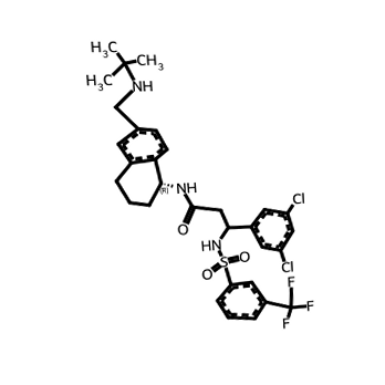 CC(C)(C)NCc1ccc2c(c1)CCC[C@H]2NC(=O)CC(NS(=O)(=O)c1cccc(C(F)(F)F)c1)c1cc(Cl)cc(Cl)c1